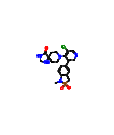 CN1c2ccc(-c3cncc(Cl)c3N3CCC4(CC3)NCNC4=O)cc2CS1(=O)=O